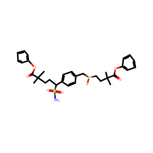 CC(C)(CCC(c1ccc(C[S+]([O-])CCC(C)(C)C(=O)Oc2ccccc2)cc1)S(N)(=O)=O)C(=O)Oc1ccccc1